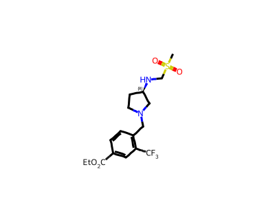 CCOC(=O)c1ccc(CN2CC[C@@H](NCS(C)(=O)=O)C2)c(C(F)(F)F)c1